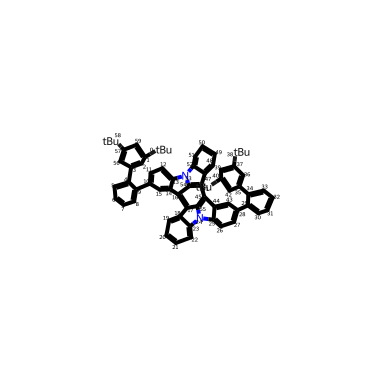 CC(C)(C)c1cc(-c2ccccc2-c2ccc3c(c2)c2c4c5ccccc5n5c6ccc(-c7ccccc7-c7cc(C(C)(C)C)cc(C(C)(C)C)c7)cc6c(c6c7ccccc7n3c62)c45)cc(C(C)(C)C)c1